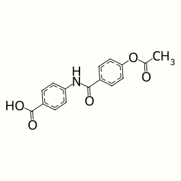 CC(=O)Oc1ccc(C(=O)Nc2ccc(C(=O)O)cc2)cc1